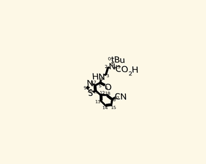 CC(C)(C)N(CCNC(=O)c1ncsc1-c1cccc(C#N)c1)C(=O)O